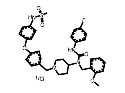 COc1ccccc1CN(C(=O)Nc1ccc(F)cc1)C1CCN(Cc2ccc(Oc3ccc(NS(C)(=O)=O)cc3)cc2)CC1.Cl